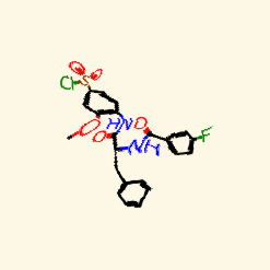 COc1cc(S(=O)(=O)Cl)ccc1NC(=O)[C@H](Cc1ccccc1)NC(=O)c1ccc(F)cc1